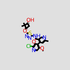 COc1cnc(Cl)cc1-c1cc(C)ncc1C(=O)Nc1nnc(O[C@H]2C[C@@H](O)C2(C)C)s1